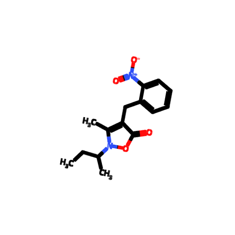 CCC(C)n1oc(=O)c(Cc2ccccc2[N+](=O)[O-])c1C